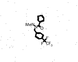 CNN(Cc1ccc(C(F)(F)C(F)(F)F)cc1)C(=O)c1ccccc1